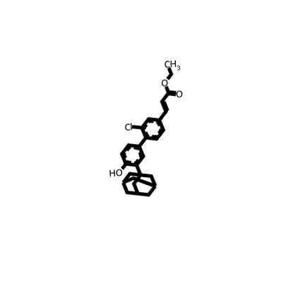 CCOC(=O)/C=C/c1ccc(-c2ccc(O)c(C34CC5CC(CC(C5)C3)C4)c2)c(Cl)c1